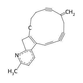 C=C1C#CCCCC2=C(C=CC#CC1)c1ccc(C)nc1C2